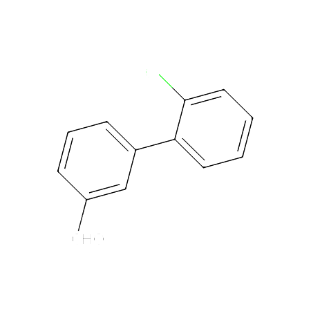 O=[C]c1cccc(-c2ccccc2Cl)c1